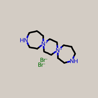 C1CNCC[N+]2(C1)CC[N+]1(CCCNCC1)CC2.[Br-].[Br-]